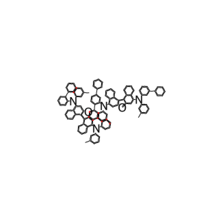 Cc1cccc(N(c2cccc(-c3ccccc3)c2)c2cc3oc4cc(N(c5cccc(C)c5)c5cc(-c6ccccc6)ccc5-c5cccc(-c6ccccc6N(c6cccc(C)c6)c6cc7oc8cc(N(c9cccc(C)c9)c9ccccc9-c9ccccc9)c9ccccc9c8c7c7ccccc67)c5)c5ccccc5c4c3c3ccccc23)c1